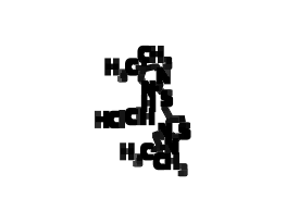 CC1(C)CN=C(SCC2=CSC3=NC(C)(C)CN23)NC1.Cl.Cl